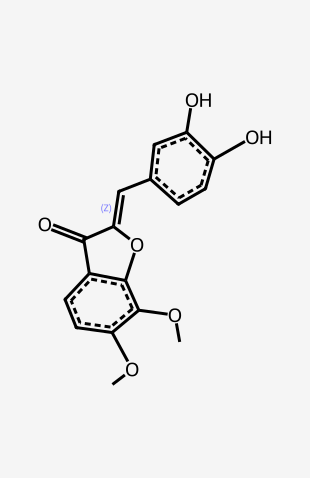 COc1ccc2c(c1OC)O/C(=C\c1ccc(O)c(O)c1)C2=O